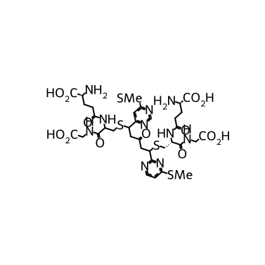 CSc1cc(C(CC(=O)CC(SC[C@H](NC(=O)CC[C@@H](N)C(=O)O)C(=O)NCC(=O)O)c2nccc(SC)n2)SCC(NC(=O)CC[C@H](N)C(=O)O)C(=O)NCC(=O)O)ncn1